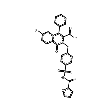 CCC(=O)c1c(-c2ccccc2)c2cc(Br)ccc2c(=O)n1Cc1ccc(S(=O)(=O)NC(=O)c2ccco2)cc1